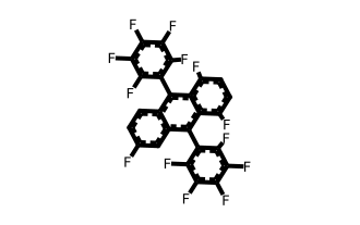 Fc1ccc2c(-c3c(F)c(F)c(F)c(F)c3F)c3c(F)ccc(F)c3c(-c3c(F)c(F)c(F)c(F)c3F)c2c1